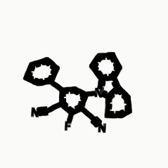 N#Cc1c(-c2ccccc2)cc(-n2c3ccccc3c3ccccc32)c(C#N)c1F